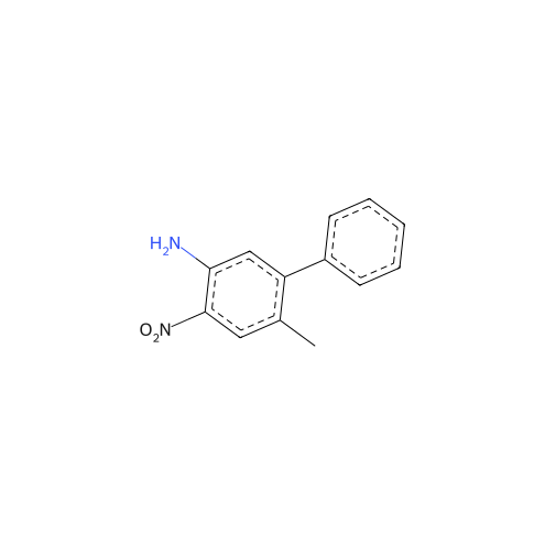 Cc1cc([N+](=O)[O-])c(N)cc1-c1ccccc1